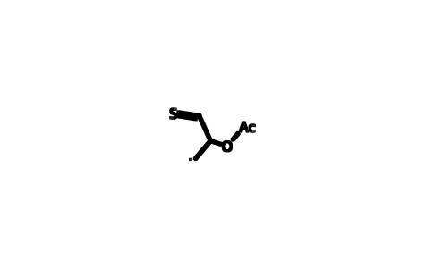 [CH2]C(C=S)OC(C)=O